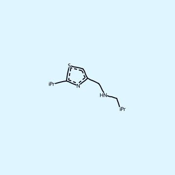 CC(C)CNCc1csc(C(C)C)n1